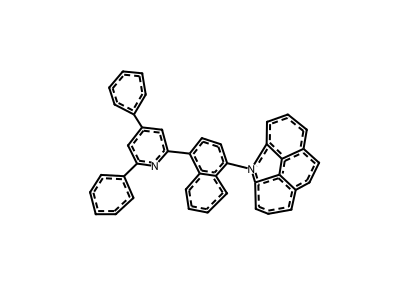 c1ccc(-c2cc(-c3ccccc3)nc(-c3ccc(-n4c5cccc6ccc7cccc4c7c65)c4ccccc34)c2)cc1